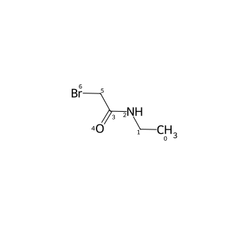 CCNC(=O)CBr